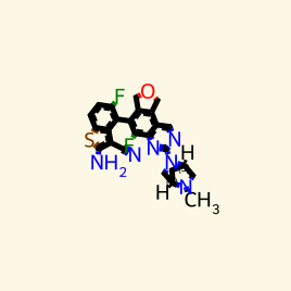 CN1C[C@@H]2C[C@H]1CN2c1ncc2c3c(c(-c4c(F)ccc5sc(N)c(C#N)c45)c(F)c2n1)COC3